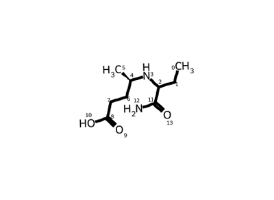 CCC(N[C@H](C)CCC(=O)O)C(N)=O